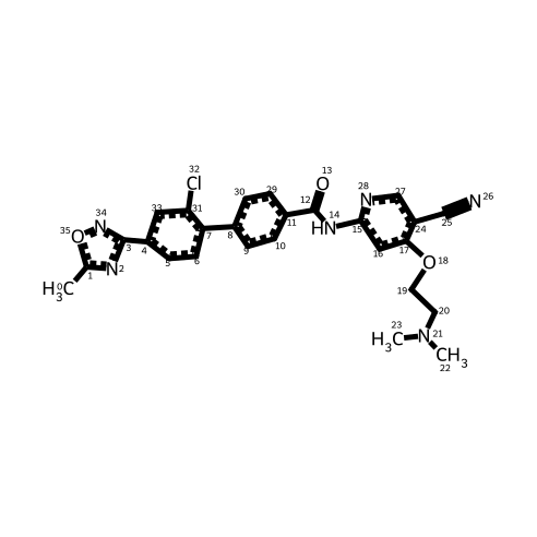 Cc1nc(-c2ccc(-c3ccc(C(=O)Nc4cc(OCCN(C)C)c(C#N)cn4)cc3)c(Cl)c2)no1